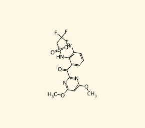 COc1cc(OC)nc(C(=O)c2cccc(Br)c2NS(=O)(=O)CC(F)(F)F)n1